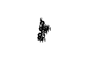 [2H]C([2H])([2H])NC(=O)c1c(Nc2ccc3cnn(C([2H])([2H])[2H])c3c2OC)ccnc1Nc1ccc(F)cn1